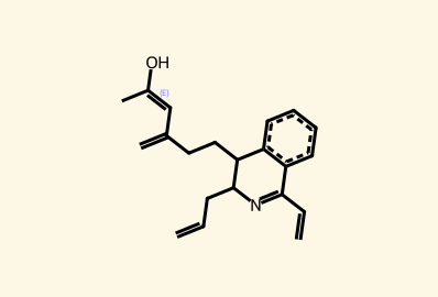 C=CCC1N=C(C=C)c2ccccc2C1CCC(=C)/C=C(\C)O